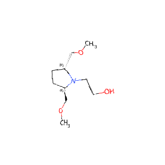 COC[C@H]1CC[C@H](COC)N1CCO